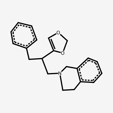 C1=C(C(Cc2ccccc2)CN2CCc3ccccc3C2)OCO1